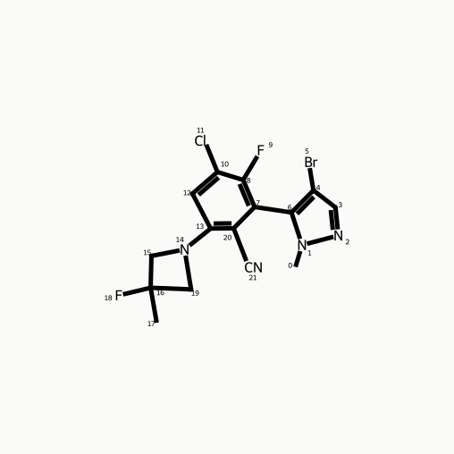 Cn1ncc(Br)c1-c1c(F)c(Cl)cc(N2CC(C)(F)C2)c1C#N